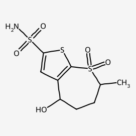 CC1CCC(O)c2cc(S(N)(=O)=O)sc2S1(=O)=O